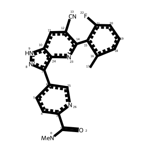 CNC(=O)c1ccc(-c2n[nH]c3cc(C#N)c(-c4c(C)cccc4F)nc23)cn1